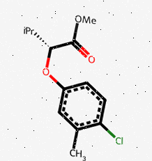 COC(=O)[C@H](Oc1ccc(Cl)c(C)c1)C(C)C